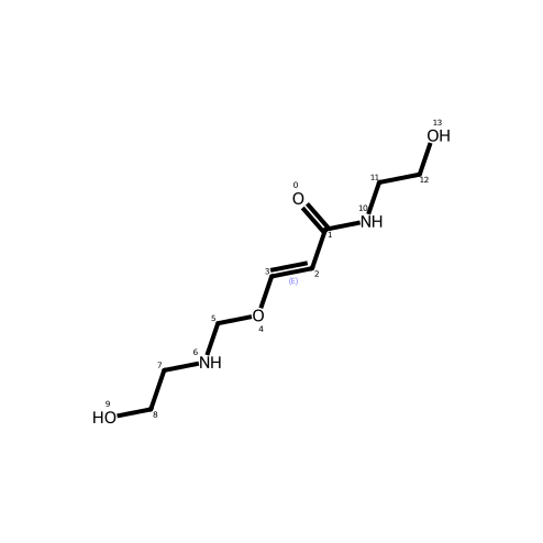 O=C(/C=C/OCNCCO)NCCO